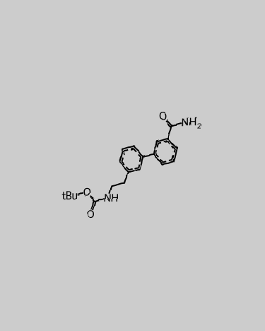 CC(C)(C)OC(=O)NCCc1cccc(-c2cccc(C(N)=O)c2)c1